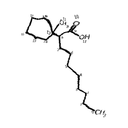 CCCCCCCCC(C(=O)O)C1(C)CCCCC1